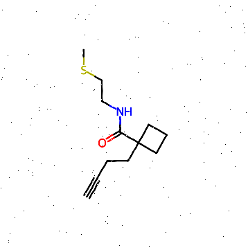 C#CCCC1(C(=O)NCCSC)CCC1